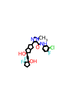 Cn1cnc(C2CC3CC(O)(C#CC4(O)CCCC4(F)F)CC3C2)c1C(=O)Nc1ccc(F)c(Cl)c1